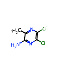 [CH2]c1nc(Cl)c(Cl)nc1N